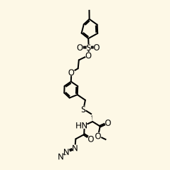 COC(=O)[C@@H](CSCc1cccc(OCCOS(=O)(=O)c2ccc(C)cc2)c1)NC(=O)CN=[N+]=[N-]